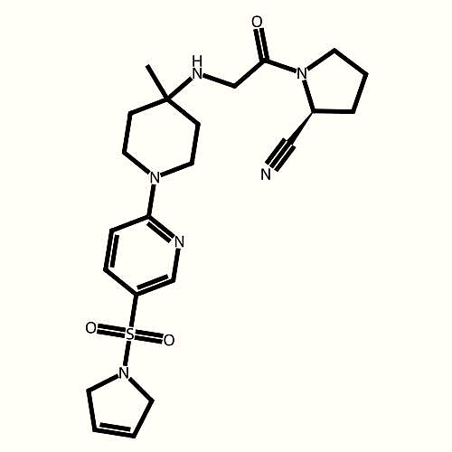 CC1(NCC(=O)N2CCC[C@H]2C#N)CCN(c2ccc(S(=O)(=O)N3CC=CC3)cn2)CC1